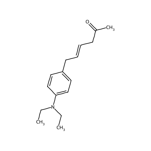 CCN(CC)c1ccc(CC=CCC(C)=O)cc1